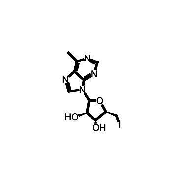 Cc1ncnc2c1ncn2C1O[C@@H](CI)[C@@H](O)[C@H]1O